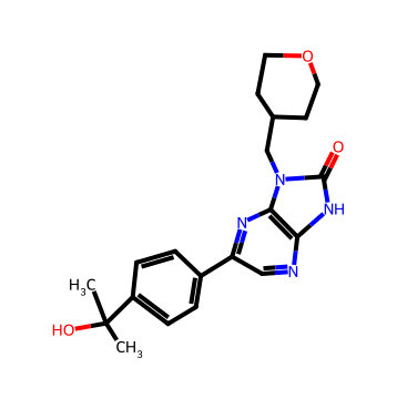 CC(C)(O)c1ccc(-c2cnc3[nH]c(=O)n(CC4CCOCC4)c3n2)cc1